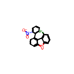 O=[N+]([O-])c1ccccc1-c1cccc2oc3cccc(Br)c3c12